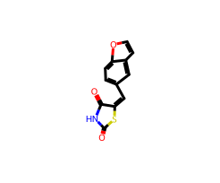 O=C1NC(=O)/C(=C\c2ccc3occc3c2)S1